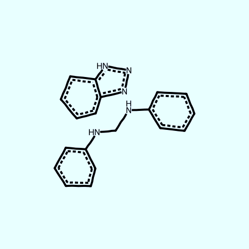 c1ccc(NCNc2ccccc2)cc1.c1ccc2[nH]nnc2c1